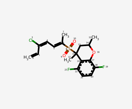 C=C/C(Cl)=C\C=C(/C)S(=O)(=O)C1(C)CC(C)Oc2c(F)ccc(F)c21